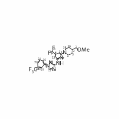 COCC1CCN(c2cc(C(F)F)cc(Nc3ncn(-c4cccc(C(F)(F)F)c4)n3)n2)CC1